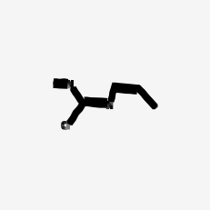 C=N/C(Cl)=N\C=C/C